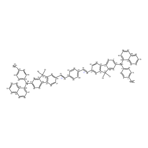 [C-]#[N+]c1ccc(N(c2ccc3c(c2)C(C)(C)c2cc(/C=C/c4ccc(/C=C/c5ccc6c(c5)C(C)(C)c5cc(N(c7ccc(C#N)cc7)c7cccc8ccccc78)ccc5-6)cc4)ccc2-3)c2cccc3ccccc23)cc1